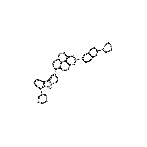 c1ccc(-c2ccc3cc(-c4cc5ccc6ccc(-c7ccc8oc9c(-c%10ccccc%10)cccc9c8c7)c7ccc(c4)c5c67)ccc3c2)cc1